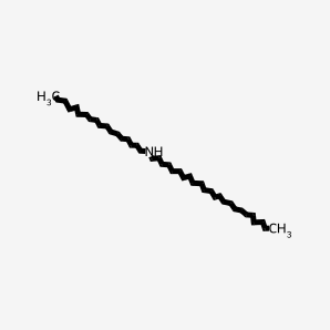 CCCCCCCCCCCCCCCCCCCCCCCCNCCCCCCCCCCCCCCCCCC